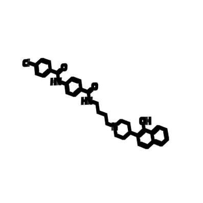 O=C(NCCCCN1CCC(c2ccc3ccccc3c2O)CC1)c1ccc(NC(=O)c2ccc(Cl)cc2)cc1